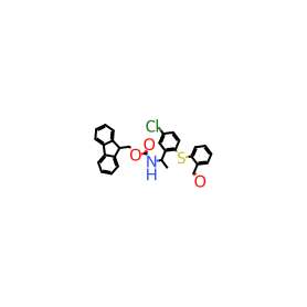 CC(NC(=O)OCC1c2ccccc2-c2ccccc21)c1cc(Cl)ccc1Sc1ccccc1C=O